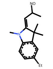 CCc1ccc2c(c1)C(C)(C)C(=CC(C)N=O)N2C